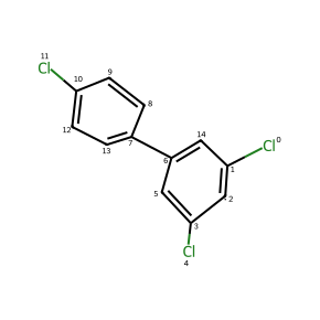 Clc1[c]c(Cl)cc(-c2ccc(Cl)cc2)c1